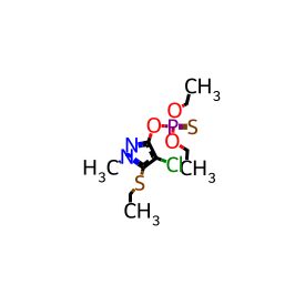 CCOP(=S)(OCC)Oc1nn(C)c(SCC)c1Cl